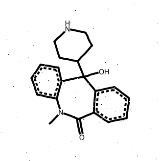 CN1C(=O)c2ccccc2C(O)(C2CCNCC2)c2ccccc21